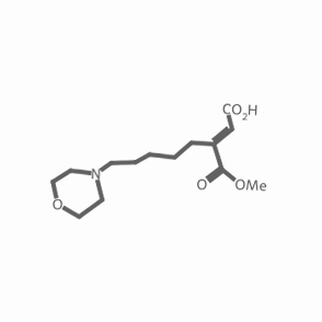 COC(=O)/C(=C/C(=O)O)CCCCCN1CCOCC1